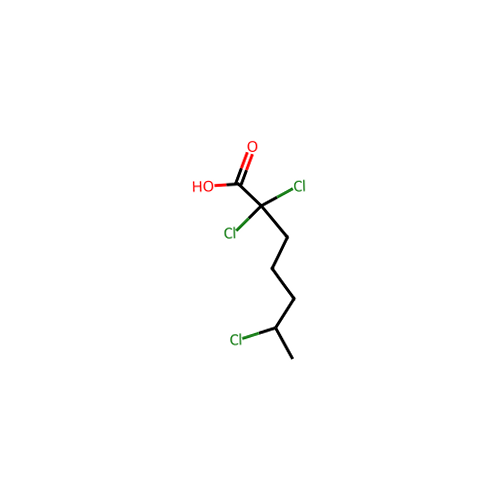 CC(Cl)CCCC(Cl)(Cl)C(=O)O